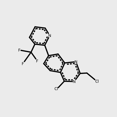 FC(F)(F)c1cccnc1-c1ccc2c(Cl)nc(CCl)nc2c1